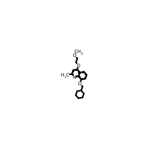 COCCOc1cc(C)nc2c(OCC3CCCCC3)cccc12